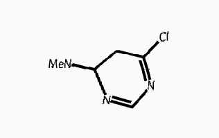 CNC1CC(Cl)=NC=N1